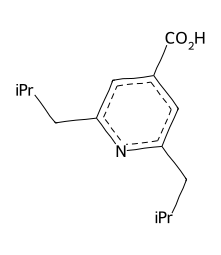 CC(C)Cc1cc(C(=O)O)cc(CC(C)C)n1